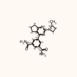 C[C@H]1CCN1c1nc2c(c(-c3cc(C(N)=O)cc(C(N)=O)c3)n1)CCC2